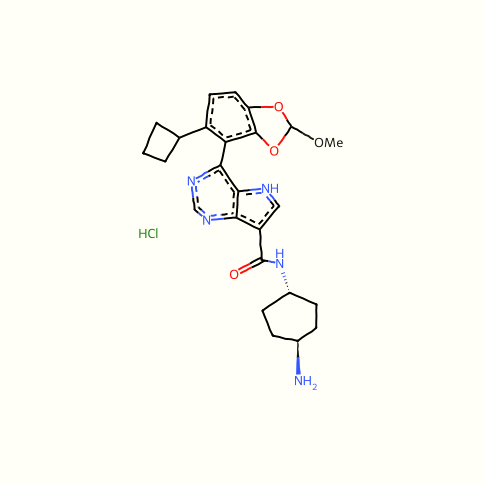 COC1Oc2ccc(C3CCC3)c(-c3ncnc4c(C(=O)N[C@H]5CC[C@H](N)CC5)c[nH]c34)c2O1.Cl